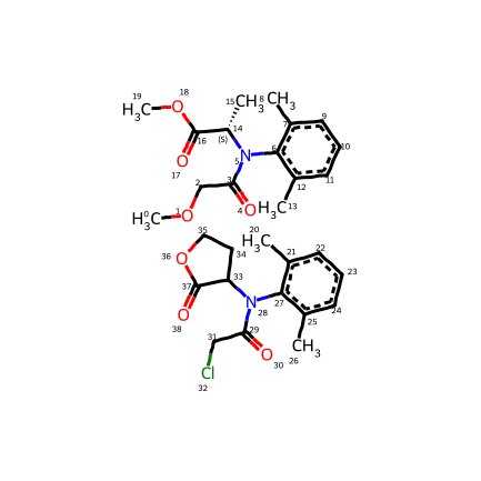 COCC(=O)N(c1c(C)cccc1C)[C@@H](C)C(=O)OC.Cc1cccc(C)c1N(C(=O)CCl)C1CCOC1=O